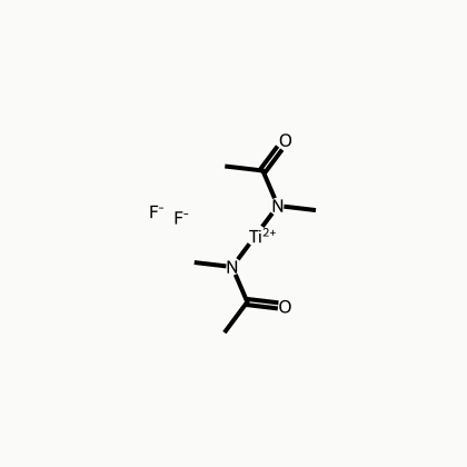 CC(=O)[N](C)[Ti+2][N](C)C(C)=O.[F-].[F-]